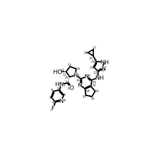 O=C(Nc1ccc(F)nc1)[C@@H]1[C@@H](O)CCN1c1nc2c(c(Nc3cc(C4CC4)[nH]n3)n1)CCC2